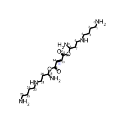 NCCCCNCCC(N)OC(=O)/C=C/C(=O)OC(N)CCNCCCCN